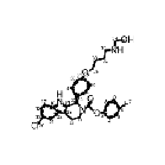 O=C(Oc1ccc(F)cc1)N1CCc2c([nH]c3ccc(Cl)cc23)C1c1ccc(OCCCCNCO)cc1